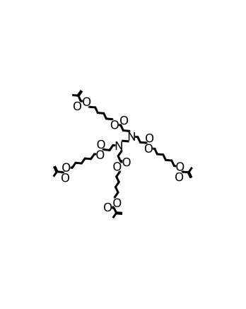 C=C(C)C(=O)OCCCCCCOC(=O)CCN(CCC(=O)OCCCCCCOC(=O)C(=C)C)CCN(CCC(=O)OCCCCCCOC(=O)C(=C)C)CCC(=O)OCCCCCCOC(=O)C(=C)C